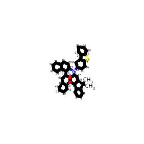 CC1(C)c2ccccc2-c2ccc(N(c3ccc4sc5ccccc5c4c3)c3ccc4ccccc4c3-c3ccc4ccccc4c3)cc21